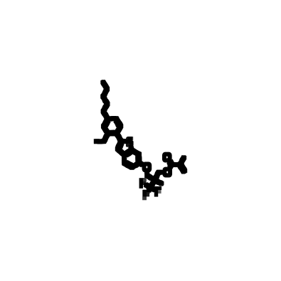 C=C(C)C(=O)OCC(C)(COc1ccc2cc(-c3ccc(CCCCC)cc3CC)sc2c1)C(F)(F)F